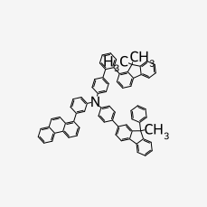 CC1(C)c2ccccc2-c2cccc(-c3ccccc3-c3ccc(N(c4ccc(-c5ccc6c(c5)C(C)(c5ccccc5)c5ccccc5-6)cc4)c4cccc(-c5cccc6c5ccc5ccccc56)c4)cc3)c21